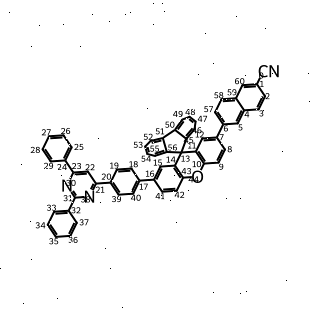 N#Cc1ccc2cc(-c3ccc4c(c3)C3(c5cc(-c6ccc(-c7cc(-c8ccccc8)nc(-c8ccccc8)n7)cc6)ccc5O4)c4ccccc4-c4ccccc43)ccc2c1